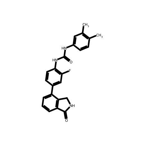 Cc1ccc(NC(=O)Nc2ccc(-c3cccc4c3CNC4=O)cc2F)cc1C